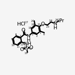 Cc1cc(NC(=O)c2ccccc2NS(C)(=O)=O)cc(C)c1OCCNC(C)C.Cl